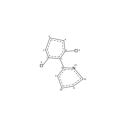 Clc1cccc(Cl)c1-c1c[c]ccn1